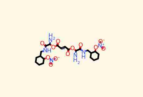 NC(OC(=O)/C=C/C(=O)OC(N)C(=O)NCC1CCCCC1O[N+](=O)[O-])C(=O)NCC1CCCCC1O[N+](=O)[O-]